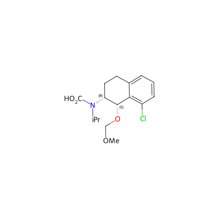 COCO[C@H]1c2c(Cl)cccc2CC[C@H]1N(C(=O)O)C(C)C